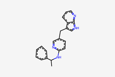 CC(Nc1ccc(Cc2c[nH]c3ncccc23)cn1)c1ccccc1